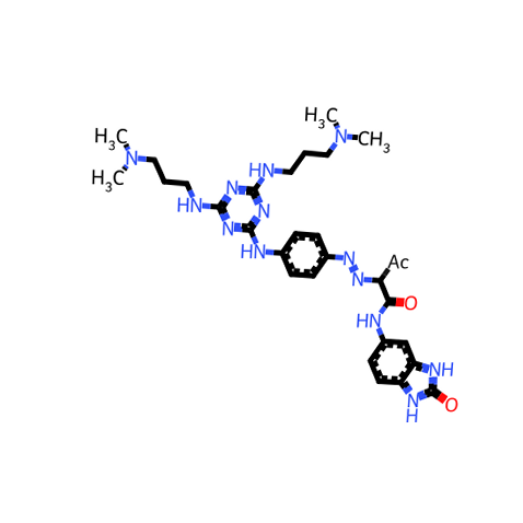 CC(=O)C(N=Nc1ccc(Nc2nc(NCCCN(C)C)nc(NCCCN(C)C)n2)cc1)C(=O)Nc1ccc2[nH]c(=O)[nH]c2c1